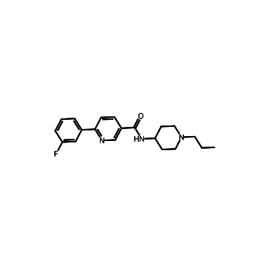 CCCN1CCC(NC(=O)c2ccc(-c3cccc(F)c3)nc2)CC1